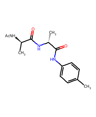 CC(=O)N[C@H](C)C(=O)N[C@H](C)C(=O)Nc1ccc(C)cc1